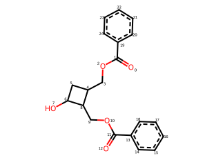 O=C(OCC1CC(O)C1COC(=O)c1ccccc1)c1ccccc1